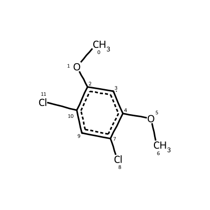 COc1[c]c(OC)c(Cl)cc1Cl